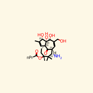 CCCC(=O)O[C@]1(C)CC[C@]23C=C(C)[C@H](O)[C@@]2(O)[C@H](O)C(CO)=C[C@H](C3=O)[C@H](N)C1(C)C